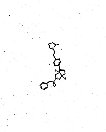 C[C@@H]1CCCN1CCc1ccc(C2=CC[C@@H]3CN(C(=O)Cc4ccccc4)C[C@H]23)cc1